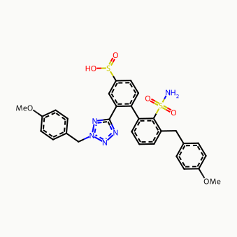 COc1ccc(Cc2cccc(-c3ccc(S(=O)O)cc3-c3nnn(Cc4ccc(OC)cc4)n3)c2S(N)(=O)=O)cc1